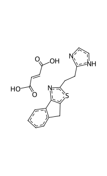 O=C(O)/C=C/C(=O)O.c1ccc2c(c1)Cc1sc(CCc3ncc[nH]3)nc1-2